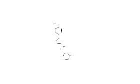 O=C(O)Cc1cccc(NC(=O)c2ccc(-c3ccc4c(c3)OCO4)o2)c1